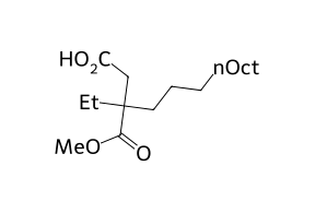 CCCCCCCCCCCC(CC)(CC(=O)O)C(=O)OC